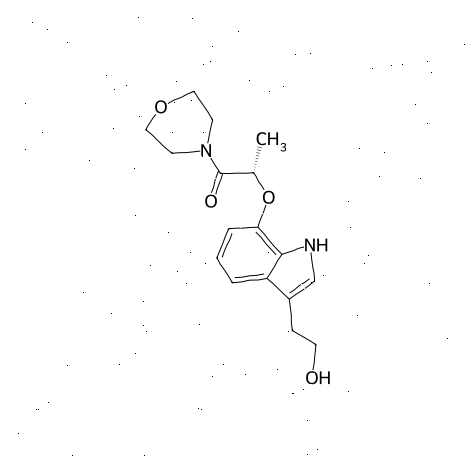 C[C@H](Oc1cccc2c(CCO)c[nH]c12)C(=O)N1CCOCC1